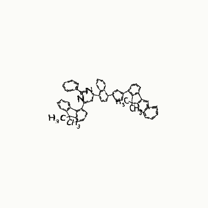 CC1(C)c2ccccc2-c2c(-c3cc(-c4ccc(-c5ccc(-c6cccc7c6C(C)(C)c6cc8ccccc8cc6-7)cc5)c5ccccc45)nc(-c4ccccc4)n3)cccc21